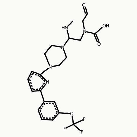 CNC(CN(CC=O)C(=O)O)N1CCN(c2cccc(-c3cccc(OC(F)(F)F)c3)n2)CC1